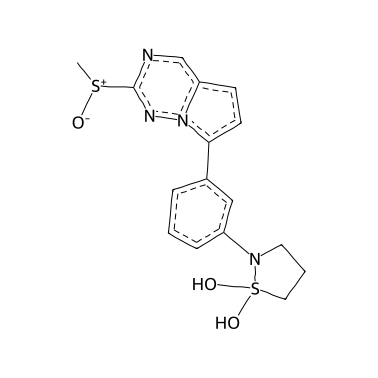 C[S+]([O-])c1ncc2ccc(-c3cccc(N4CCCS4(O)O)c3)n2n1